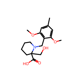 COc1cc(C)cc(OC)c1CN1CCCCC1(CO)C(=O)O